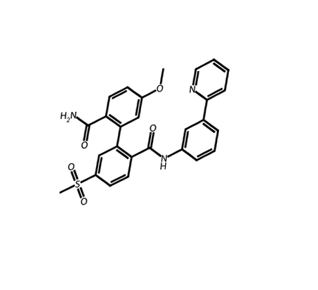 COc1ccc(C(N)=O)c(-c2cc(S(C)(=O)=O)ccc2C(=O)Nc2cccc(-c3ccccn3)c2)c1